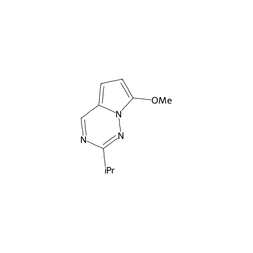 COc1ccc2cnc(C(C)C)nn12